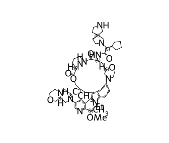 CCn1c(-c2cc(N3CCN4CCOC[C@@H]4C3)cnc2[C@H](C)OC)c2c3cc(ccc31)N1CCO[C@@H](C[C@H](NC(=O)[C@H](C3CCCC3)N3CC[C@]4(CCNC4)C3)C(=O)N3CCC[C@H](N3)C(=O)OCC(C)(C)C2)C1